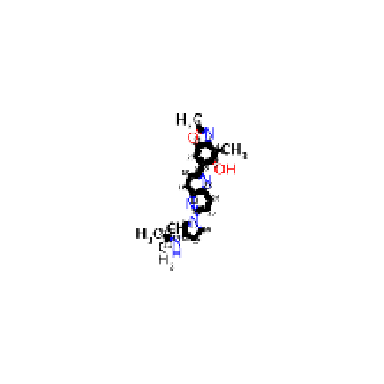 Cc1nc2c(C)c(O)c(-c3ccc4nc(N5CC[C@H](NC(C)(C)C)C5)ccc4n3)cc2o1